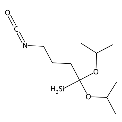 CC(C)OC([SiH3])(CCCN=C=O)OC(C)C